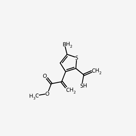 Bc1cc(C(=C)C(=O)OC)c(C(=C)S)s1